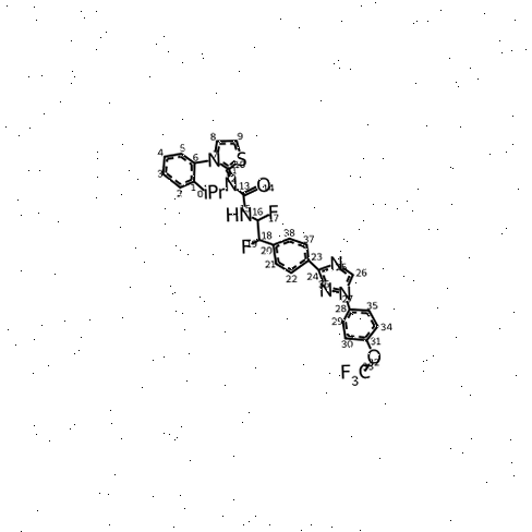 CC(C)c1ccccc1-n1ccs/c1=N\C(=O)NC(F)C(F)c1ccc(-c2ncn(-c3ccc(OC(F)(F)F)cc3)n2)cc1